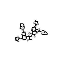 OC(CC(O)(c1ccc(-c2nccs2)c2oc(N3CC4CCC(C3)N4)nc12)C(F)F)(c1ccc(-c2nccs2)c2oc(N3CC4CCC(C3)N4)nc12)C(F)F